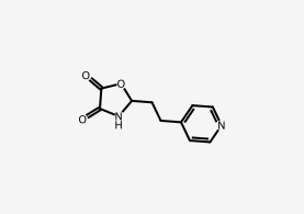 O=C1NC(CCc2ccncc2)OC1=O